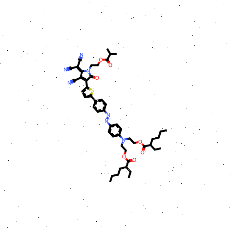 CCCCC(CC)C(=O)OCCN(CCOC(=O)C(CC)CCCC)c1ccc(/N=N/c2ccc(-c3ccc(C4=C(C#N)C(=C(C#N)C#N)N(CCOC(=O)C(C)C)C4=O)s3)cc2)cc1